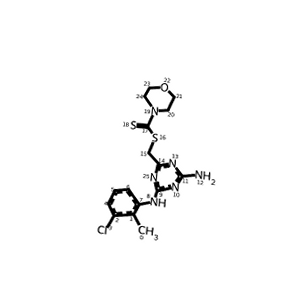 Cc1c(Cl)cccc1Nc1nc(N)nc(CSC(=S)N2CCOCC2)n1